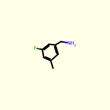 Cc1cc(F)cc(CN)c1